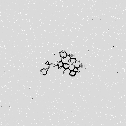 C=CC(=O)NC1COCCN(c2nc(OCC3(CN4CCOCC4)CC3)nc3c(F)c(-c4cccc5sc(N)c(C#N)c45)ncc23)C1